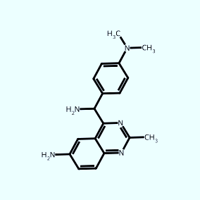 Cc1nc(C(N)c2ccc(N(C)C)cc2)c2cc(N)ccc2n1